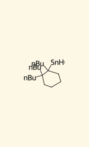 CCCC[C]1([SnH])CCCCC1(CCCC)CCCC